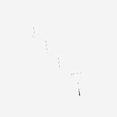 C[C@@H]1O[C@H]1CCCCNC(=O)O